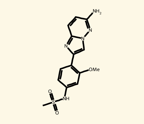 COc1cc(NS(C)(=O)=O)ccc1-c1cn2nc(N)ccc2n1